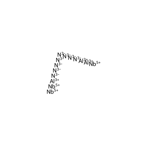 [Al+3].[Al+3].[Al+3].[N-3].[N-3].[N-3].[N-3].[N-3].[N-3].[N-3].[N-3].[Nb+5].[Nb+5].[Nb+5]